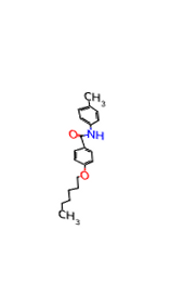 CCCCCCOc1ccc(C(=O)Nc2ccc(C)cc2)cc1